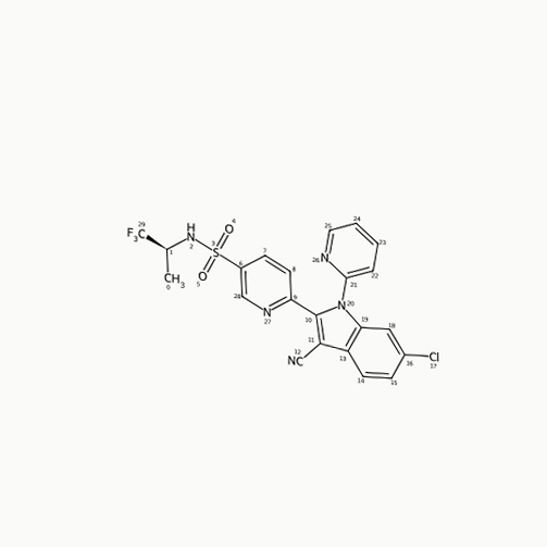 C[C@H](NS(=O)(=O)c1ccc(-c2c(C#N)c3ccc(Cl)cc3n2-c2ccccn2)nc1)C(F)(F)F